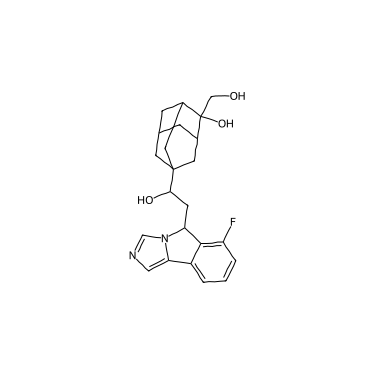 OCC1(O)C2CC3CC1CC(C(O)CC1c4c(F)cccc4-c4cncn41)(C3)C2